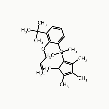 C=CCOc1c(C(C)(C)C)cccc1[Si](C)(C)C1=C(C)C(C)=C(C)C1C